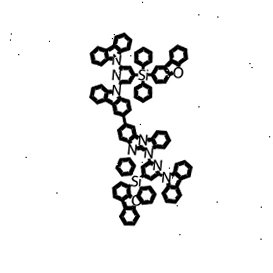 c1ccc([Si](c2ccccc2)(c2cc(-n3c4ccccc4c4ccccc43)nc(-n3c4ccccc4c4cc(-c5ccc6nc7n(-c8cc([Si](c9ccccc9)(c9ccccc9)c9cccc%10c9oc9ccccc9%10)cc(-n9c%10ccccc%10c%10ccccc%109)n8)c8ccccc8n7c6c5)ccc43)c2)c2ccc3oc4ccccc4c3c2)cc1